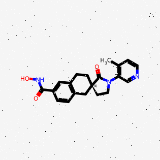 Cc1ccncc1N1CC[C@@]2(CCc3cc(C(=O)NO)ccc3C2)C1=O